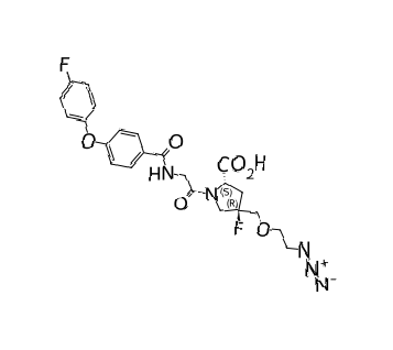 [N-]=[N+]=NCCOC[C@@]1(F)C[C@@H](C(=O)O)N(C(=O)CNC(=O)c2ccc(Oc3ccc(F)cc3)cc2)C1